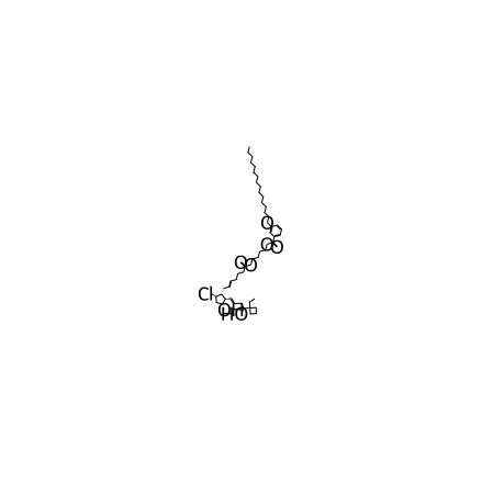 CCCCCCCCCCCCCCCOc1cccc(C(=O)OCCCCOC(=O)CCCC=CC[C@@H]2[C@@H](C=CC[C@H](O)C3(CC)CCC3)[C@H](O)C[C@H]2Cl)c1